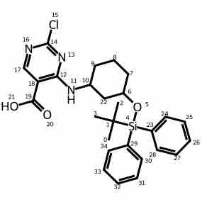 CC(C)(C)[Si](OC1CCCC(Nc2nc(Cl)ncc2C(=O)O)C1)(c1ccccc1)c1ccccc1